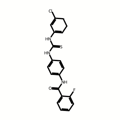 O=C(Nc1ccc(NC(=S)NC2=CC[CH]C(Cl)=C2)cc1)c1ccccc1F